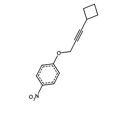 O=[N+]([O-])c1ccc(OCC#CC2CCC2)cc1